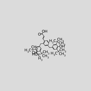 CC(C)(C)c1cc(Cc2ccc(C=CC(=O)O)c(Cc3cc(C(C)(C)C)c(O)c(C(C)(C)C)c3)c2)cc(C(C)(C)C)c1O